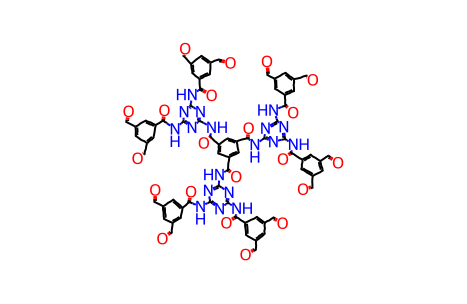 O=Cc1cc(C=O)cc(C(=O)Nc2nc(NC(=O)c3cc(C=O)cc(C=O)c3)nc(NC(=O)c3cc(C(=O)Nc4nc(NC(=O)c5cc(C=O)cc(C=O)c5)nc(NC(=O)c5cc(C=O)cc(C=O)c5)n4)cc(C(=O)Nc4nc(NC(=O)c5cc(C=O)cc(C=O)c5)nc(NC(=O)c5cc(C=O)cc(C=O)c5)n4)c3)n2)c1